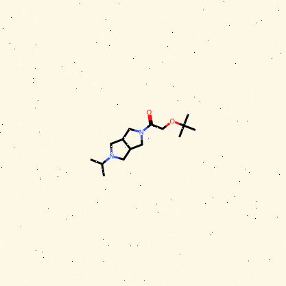 CC(C)N1CC2CN(C(=O)COC(C)(C)C)CC2C1